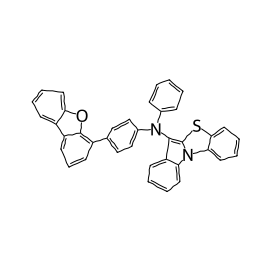 c1ccc(N(c2ccc(-c3cccc4c3oc3ccccc34)cc2)c2c3ccccc3n3c2sc2ccccc23)cc1